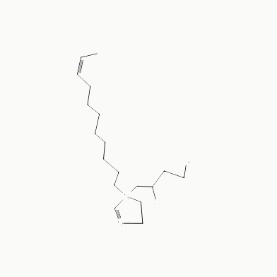 CCCCCCCC/C=C\CCCCCCCC[N+]1(CC(O)CCCCCCCCCCCC)C=NCC1